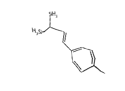 Cc1ccc(C=CC([SiH3])[SiH3])cc1